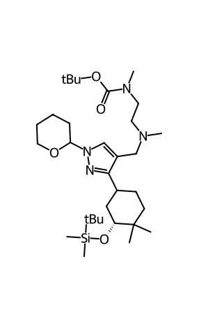 CN(CCN(C)C(=O)OC(C)(C)C)Cc1cn(C2CCCCO2)nc1C1CCC(C)(C)[C@H](O[Si](C)(C)C(C)(C)C)C1